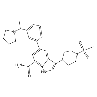 CCS(=O)(=O)N1CCC(c2c[nH]c3c(C(N)=O)cc(-c4cccc(C(C)N5CCCC5)c4)cc23)CC1